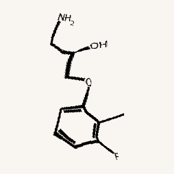 Cc1c(F)cccc1OC[C@H](O)CN